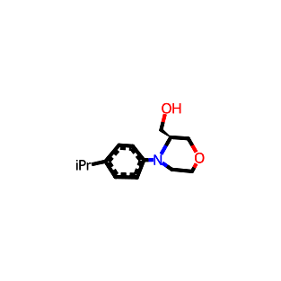 CC(C)c1ccc(N2CCOC[C@@H]2CO)cc1